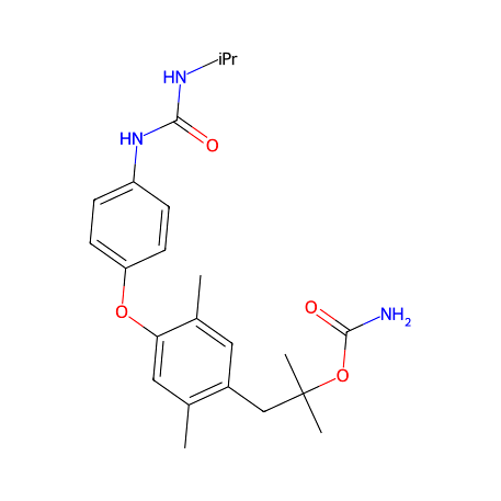 Cc1cc(Oc2ccc(NC(=O)NC(C)C)cc2)c(C)cc1CC(C)(C)OC(N)=O